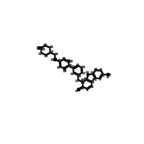 O=c1ccc2c3cc(Br)ccc3sc2n1Cc1cccc(-c2ncc(OCC3CCNCC3)cn2)c1